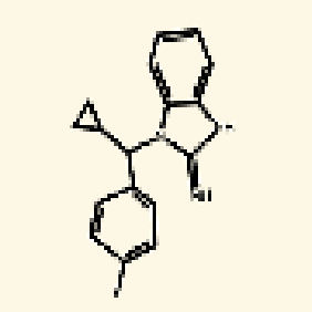 Cc1ccc(C(C2CC2)n2c(=N)[nH]c3ccccc32)cc1